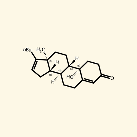 CCCCC1=CC[C@H]2[C@@H]3CCC4=CC(=O)CC[C@]4(O)[C@H]3CC[C@]12C